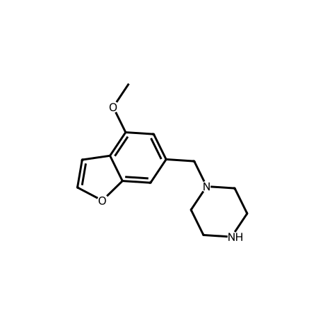 COc1cc(CN2CCNCC2)cc2occc12